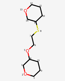 C1COCC(OCCSC2CCCOC2)C1